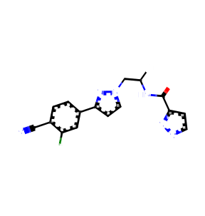 CC(Cn1ccc(-c2ccc(C#N)c(Cl)c2)n1)NC(=O)c1cc[nH]n1